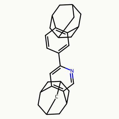 c1cc2c(cc1-c1cc3c(cn1)C1CC4CC(C1)CC3C4)C1CC3CC(CC2C3)C1